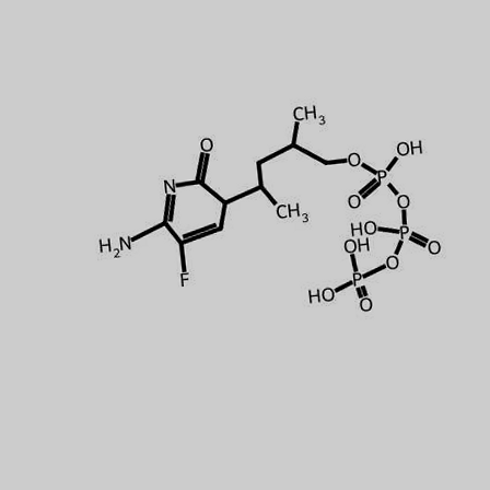 CC(COP(=O)(O)OP(=O)(O)OP(=O)(O)O)CC(C)C1C=C(F)C(N)=NC1=O